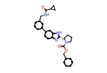 O=C(NCc1cccc(-c2ccc3nc([C@@H]4CCCN4C(=O)OCc4ccccc4)[nH]c3c2)c1)C1CC1